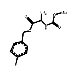 CC(NC(=O)OC(C)(C)C)C(=O)OCc1ccc(F)cc1